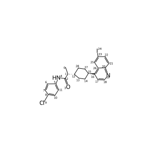 CC(C(=O)Nc1ccc(Cl)cc1)[C@H]1CC[C@H](c2ccnc3ccc(I)cc32)CC1